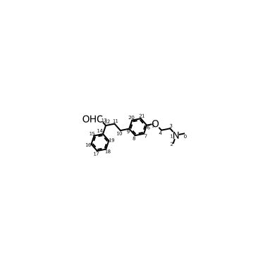 CN(C)CCOc1ccc(CCC(C=O)c2ccccc2)cc1